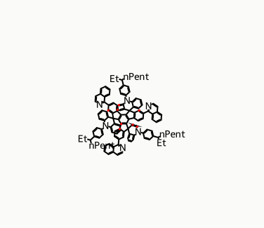 CCCCCC(CC)c1ccc(N2c3ccccc3C3(c4cc(-c5nccc6ccccc56)ccc4-c4c3c3c(c5c4C4(c6cc(-c7nccc8ccccc78)ccc6-5)c5ccccc5N(c5ccc(C(CC)CCCCC)cc5)c5ccccc54)C4(c5cc(-c6nccc7ccccc67)ccc5-3)c3ccccc3N(c3ccc(C(CC)CCCCC)cc3)c3ccccc34)c3ccccc32)cc1